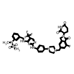 CN(c1cccc(CNc2nc(Nc3ccc(N4CCN(Cc5cc(F)c6c(c5)CN(C5CCC(=O)NC5=O)C6=O)CC4)cc3)ncc2C(F)(F)F)c1)S(C)(=O)=O